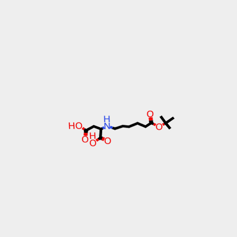 CC(C)(C)OC(=O)CCCCCNC(CC(=O)O)C(=O)O